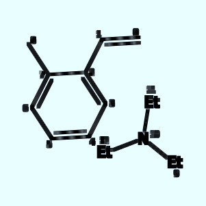 C=Cc1ccccc1C.CCN(CC)CC